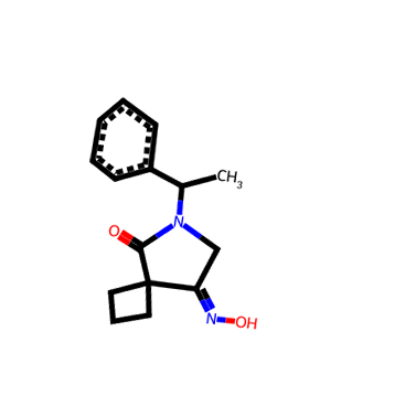 CC(c1ccccc1)N1C/C(=N\O)C2(CCC2)C1=O